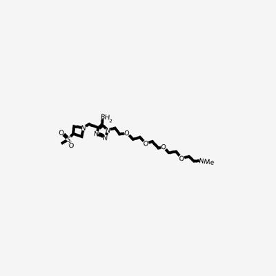 Bc1c(CN2CC(S(C)(=O)=O)C2)nnn1CCOCCOCCOCCOCCNC